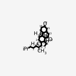 CC(C)CCC[C@@H](C)[C@H]1CC[C@H]2[C@@H]3C(=O)CC4CC(=O)CC[C@]4(C)[C@H]3CC[C@]12C